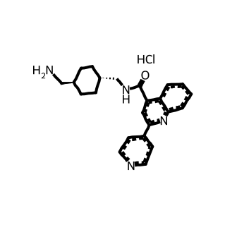 Cl.NC[C@H]1CC[C@H](CNC(=O)c2cc(-c3ccncc3)nc3ccccc23)CC1